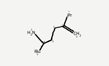 C=C(CCC(N)C(C)CC)C(C)C